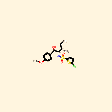 CC[C@H](C)[C@H](NS(=O)(=O)c1ccc(Cl)s1)C(O)c1ccc(OC)cc1